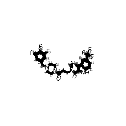 O=C(CCn1cnc2c([nH]c3ccc(C(F)(F)F)cc32)c1=O)N1CCN(Cc2cc(F)c(F)c(F)c2)CC1